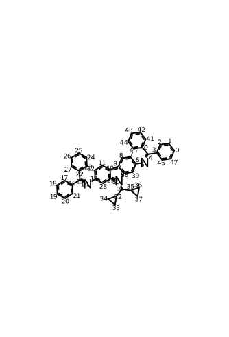 c1ccc(C(=Nc2ccc3c4ccc(N=C(c5ccccc5)c5ccccc5)cc4n(C(C4CC4)C4CC4)c3c2)c2ccccc2)cc1